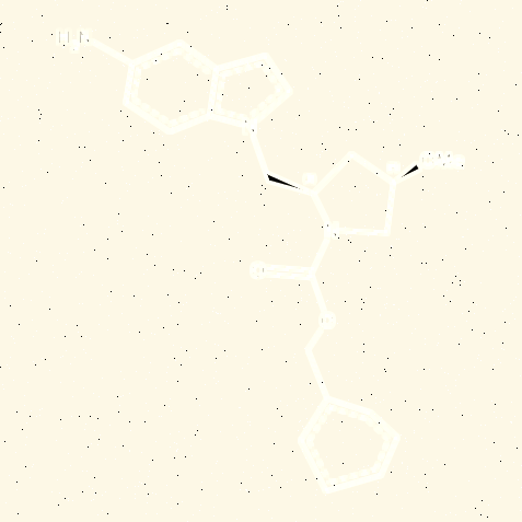 CO[C@@H]1C[C@H](Cn2ccc3cc(N)ccc32)N(C(=O)OCc2ccccc2)C1